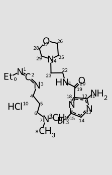 CCN=C=NCCCN(C)C.Cl.Nc1ncc(Br)nc1C(=O)NCCN1CCOCC1